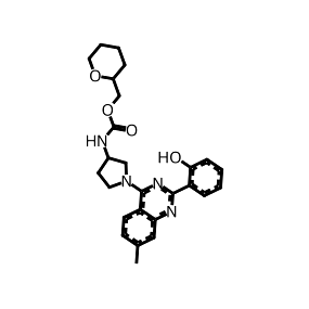 Cc1ccc2c(N3CCC(NC(=O)OCC4CCCCO4)C3)nc(-c3ccccc3O)nc2c1